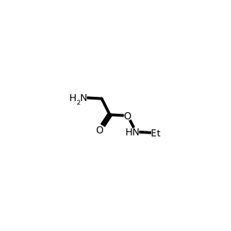 CCNOC(=O)CN